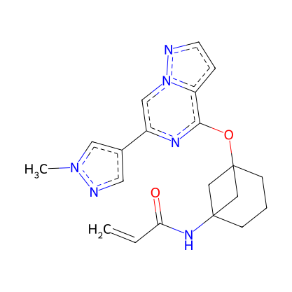 C=CC(=O)NC12CCCC(Oc3nc(-c4cnn(C)c4)cn4nccc34)(C1)C2